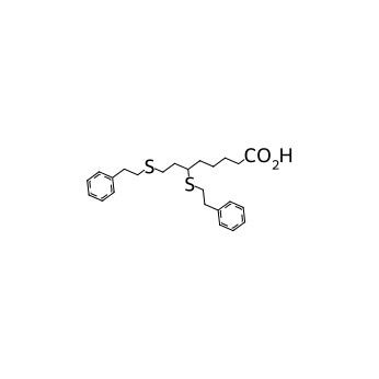 O=C(O)CCCCC(CCSCCc1ccccc1)SCCc1ccccc1